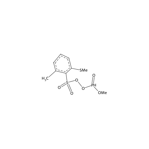 CO[PH](=O)OOS(=O)(=O)c1c(C)cccc1SC